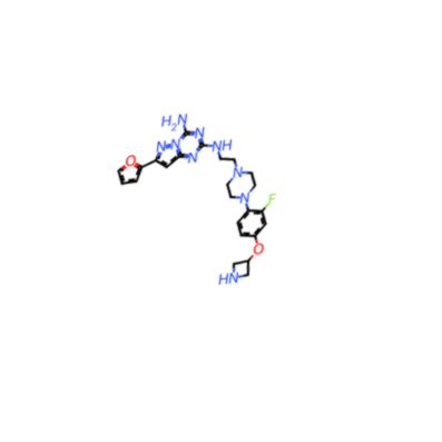 Nc1nc(NCCN2CCN(c3ccc(OC4CNC4)cc3F)CC2)nc2cc(-c3ccco3)nn12